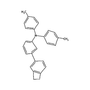 Cc1ccc(N(c2ccc(C)cc2)c2cccc(-c3ccc4c(c3)CC4)c2)cc1